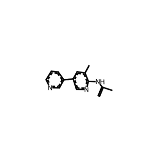 C=C(C)Nc1ncc(-c2cccnc2)cc1C